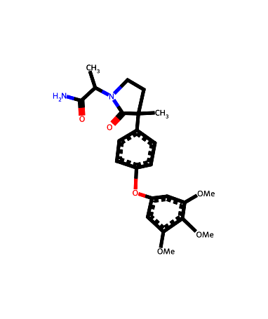 COc1cc(Oc2ccc(C3(C)CCN(C(C)C(N)=O)C3=O)cc2)cc(OC)c1OC